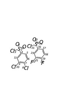 O=S(=O)(Cl)c1ccc(Cl)c(Cl)c1.O=S(=O)(Cl)c1ccc(F)c(F)c1